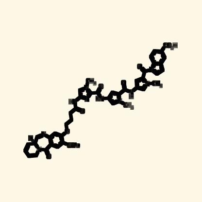 COc1cc2c(cc1OCCCC(=O)Nc1cn(C)c(C(=O)Nc3cc(C(=O)Nc4cc(C(=O)n5ccc6cc(C(=O)O)ccc65)n(C)c4)n(C)c3)n1)N=C[C@@H]1C=CC=CN1C2=O